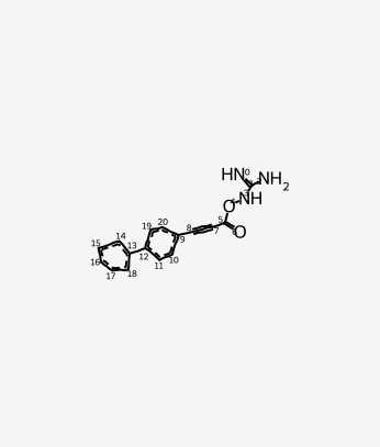 N=C(N)NOC(=O)C#Cc1ccc(-c2ccccc2)cc1